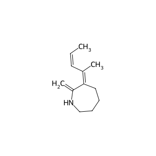 C=C1NCCCC/C1=C(C)/C=C\C